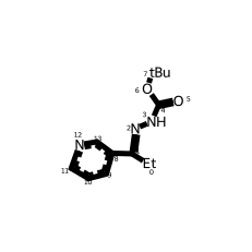 CCC(=NNC(=O)OC(C)(C)C)c1cccnc1